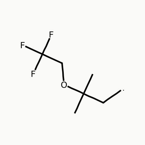 [CH2]CC(C)(C)OCC(F)(F)F